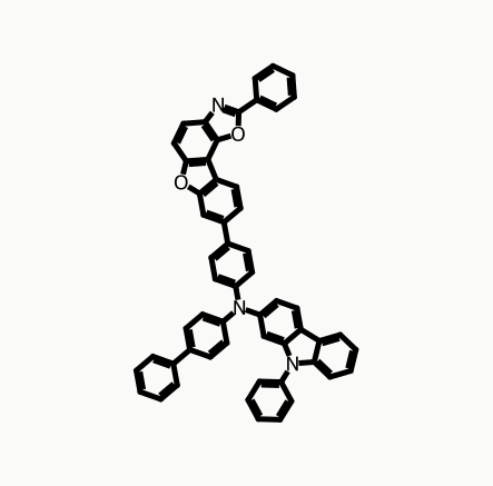 c1ccc(-c2ccc(N(c3ccc(-c4ccc5c(c4)oc4ccc6nc(-c7ccccc7)oc6c45)cc3)c3ccc4c5ccccc5n(-c5ccccc5)c4c3)cc2)cc1